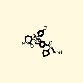 O=C1NCCCC[C@H]1N(Cc1ccc(C(=O)N(CCO)C2CCCCC2)cc1)S(=O)(=O)c1ccc(Cl)cc1